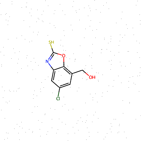 OCc1cc(Cl)cc2nc(S)oc12